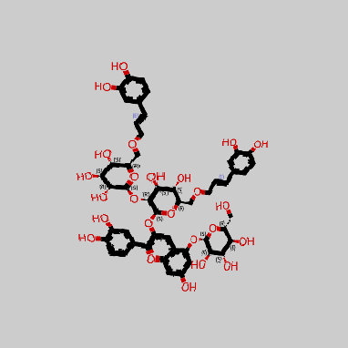 OC[C@H]1O[C@@H](Oc2cc(O)cc3[o+]c(-c4ccc(O)c(O)c4)c(O[C@@H]4O[C@H](COC/C=C/c5ccc(O)c(O)c5)[C@@H](O)[C@H](O)[C@H]4O[C@@H]4O[C@H](COC/C=C/c5ccc(O)c(O)c5)[C@@H](O)[C@H](O)[C@H]4O)cc23)[C@H](O)[C@@H](O)[C@@H]1O